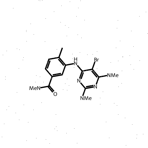 CNC(=O)c1ccc(C)c(Nc2nc(NC)nc(NC)c2Br)c1